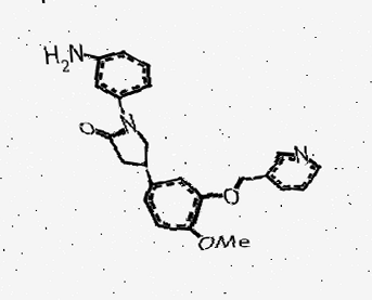 COc1ccc([C@H]2CC(=O)N(c3cccc(N)c3)C2)cc1OCc1cccnc1